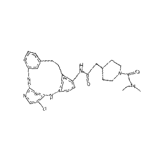 CN(C)C(=O)N1CCC(CC(=O)Nc2ccc3cc2CCc2cccc(c2)Nc2ncc(Cl)c(n2)N3)CC1